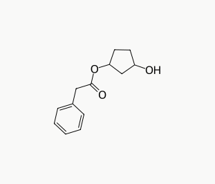 O=C(Cc1ccccc1)OC1CCC(O)C1